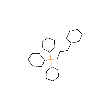 C1CCC(CCC[PH](C2CCCCC2)(C2CCCCC2)C2CCCCC2)CC1